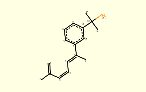 C=C(C)/C=C\C=C(/C)c1cccc(C(C)(C)P)c1